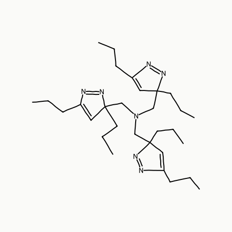 CCCC1=CC(CCC)(CN(CC2(CCC)C=C(CCC)N=N2)CC2(CCC)C=C(CCC)N=N2)N=N1